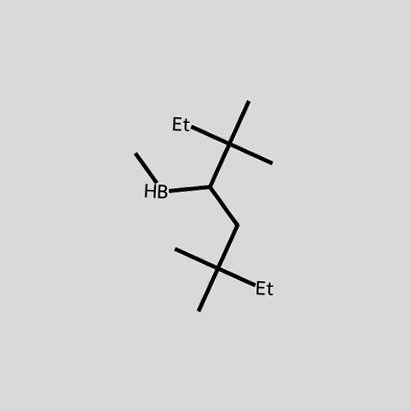 CBC(CC(C)(C)CC)C(C)(C)CC